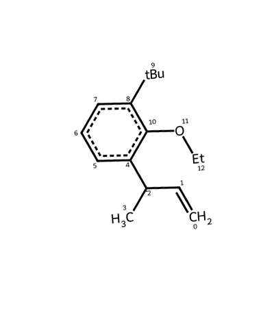 C=C[C](C)c1cccc(C(C)(C)C)c1OCC